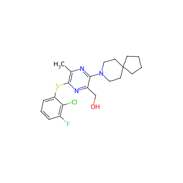 Cc1nc(N2CCC3(CCCC3)CC2)c(CO)nc1Sc1cccc(F)c1Cl